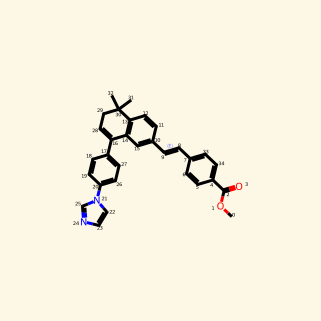 COC(=O)c1ccc(/C=C/c2ccc3c(c2)C(c2ccc(-n4ccnc4)cc2)=CCC3(C)C)cc1